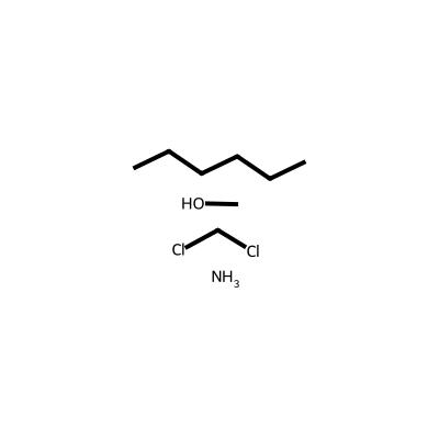 CCCCCC.CO.ClCCl.N